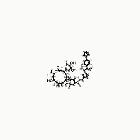 CC[C@H]1OC(=O)[C@H](C)[C@@H](C2C[C@@](C)(OC)[C@@H](O)[C@H](C)O2)[C@H](C)[C@@H](O[C@@H]2O[C@H](C)C[C@H](N(C)CCc3cn([C@H](CF)[C@H](OC)c4ccc(-n5ccnn5)cc4)nn3)[C@H]2O)[C@](C)(OC)C[C@@H](C)C(=N)[C@H](C)[C@@H](O)[C@]1(C)O